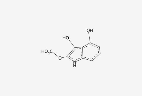 O=C(O)Oc1[nH]c2cccc(O)c2c1O